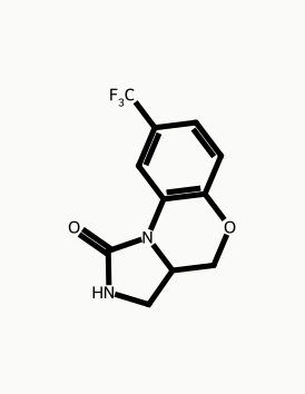 O=C1NCC2COc3ccc(C(F)(F)F)cc3N12